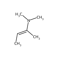 C/C=C(\C)N(C)C